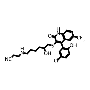 N#CCCNCCCCC(O)CSc1c(-c2cc(Cl)ccc2O)c2cc(C(F)(F)F)ccc2[nH]c1=O